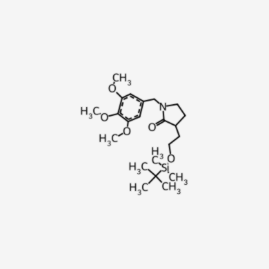 COc1cc(CN2CCC(CCO[Si](C)(C)C(C)(C)C)C2=O)cc(OC)c1OC